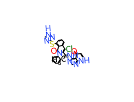 C[C@H](Nc1ncnc2[nH]ccc(=O)c12)c1c(Cl)c2cccc(Sc3nc[nH]n3)c2c(=O)n1-c1ccccc1